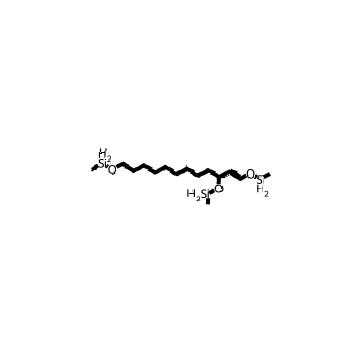 C[SiH2]OC=CC(CCCCCCCCCO[SiH2]C)O[SiH2]C